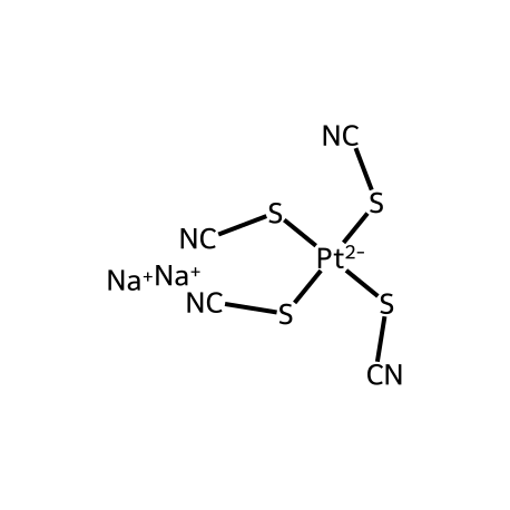 N#C[S][Pt-2]([S]C#N)([S]C#N)[S]C#N.[Na+].[Na+]